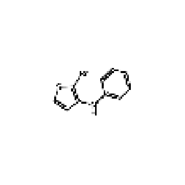 Brc1sccc1Nc1ccccc1